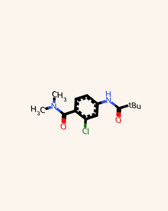 CN(C)C(=O)c1ccc(NC(=O)C(C)(C)C)cc1Cl